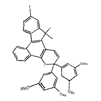 COC1=CC(OC)CC(C2(c3cc(OC)cc(OC)c3)C=Cc3c4c(c5ccccc5c3O2)-c2ccc(F)cc2C4(C)C)=C1